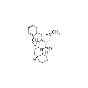 CNC[C@H](C(=O)N1CCC[C@H]2CCCC[C@@H]21)N(Cc1ccccc1C)C1CC1